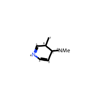 CNC1C=CN=CC1C